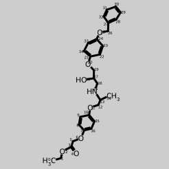 CCOC(=O)COc1ccc(OCC(C)NCC(O)COc2ccc(OCc3ccccc3)cc2)cc1